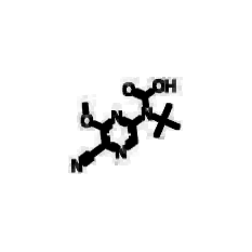 COc1nc(N(C(=O)O)C(C)(C)C)cnc1C#N